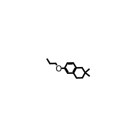 CCCOc1ccc2c(c1)CCC(C)(C)C2